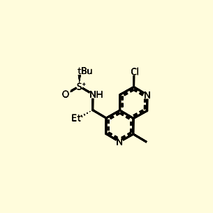 CC[C@H](N[S@@+]([O-])C(C)(C)C)c1cnc(C)c2cnc(Cl)cc12